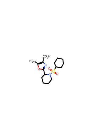 Cc1oc(C2CCCCN2S(=O)(=O)C2CCCCC2)nc1C(=O)O